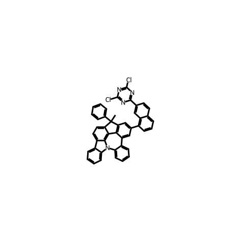 CC1(c2ccccc2)c2cc(-c3cccc4ccc(-c5nc(Cl)nc(Cl)n5)cc34)cc3c2-c2c1ccc1c4ccccc4n(c21)-c1ccccc1-3